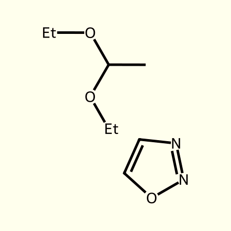 CCOC(C)OCC.c1conn1